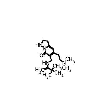 C=C(NCc1c(CCN(C)C)cc2n(c1=O)NCC2)C(C)(C)C